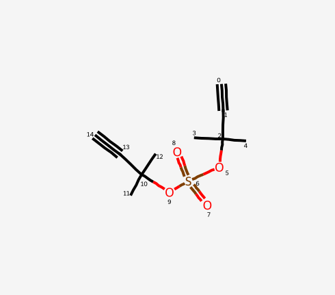 C#CC(C)(C)OS(=O)(=O)OC(C)(C)C#C